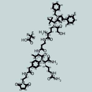 CC(C)[C@H](NC(=O)CCNC(=O)[C@@H](N)CCN(C(=O)CO)[C@@H](c1nc(-c2cc(F)ccc2F)cn1Cc1ccccc1)C(C)(C)C)C(=O)N(c1ccc(CC(=O)NCCN2C(=O)C=CC2=O)cc1)[C@@H](CCCNC(N)=O)C(N)=O.O=C(O)C(F)(F)F